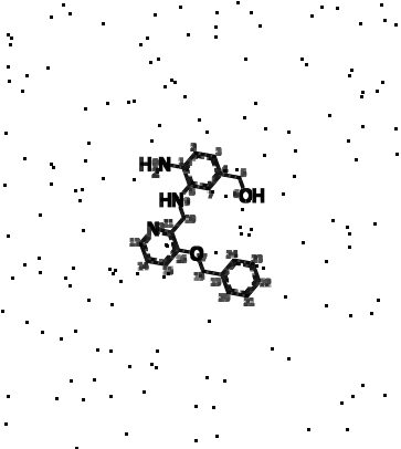 Nc1ccc(CO)cc1NCc1ncccc1OCc1ccccc1